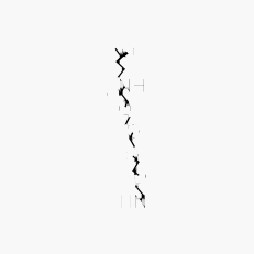 CNCCOCCOCCOCCOCC(=O)NCCCC(C)=O